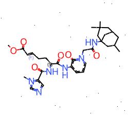 COC(=O)/C=C/CC[C@H](NC(=O)c1cncn1C)C(=O)Nc1cccn(CC(=O)NC23CC(C)CC(CC(C)(C)C2)C3)c1=O